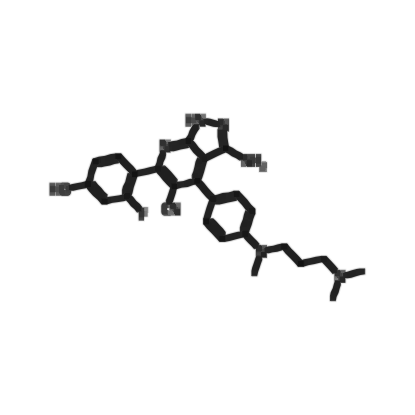 CN(C)CCCN(C)c1ccc(-c2c(C#N)c(-c3ccc(O)cc3F)nc3[nH]nc(N)c23)cc1